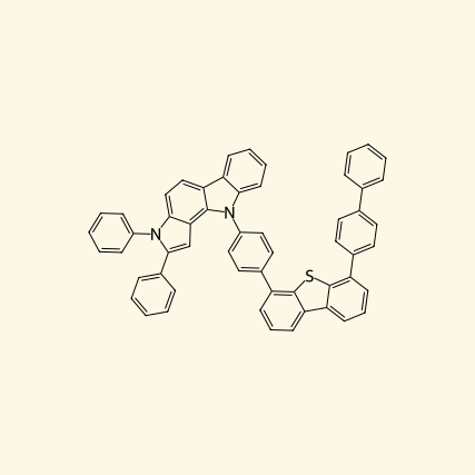 c1ccc(-c2ccc(-c3cccc4c3sc3c(-c5ccc(-n6c7ccccc7c7ccc8c(cc(-c9ccccc9)n8-c8ccccc8)c76)cc5)cccc34)cc2)cc1